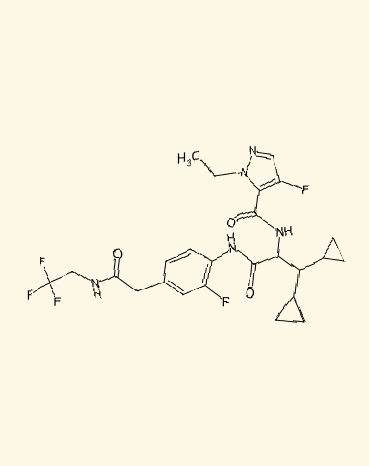 CCn1ncc(F)c1C(=O)NC(C(=O)Nc1ccc(CC(=O)NCC(F)(F)F)cc1F)C(C1CC1)C1CC1